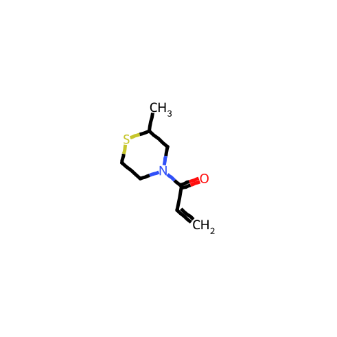 C=CC(=O)N1CCSC(C)C1